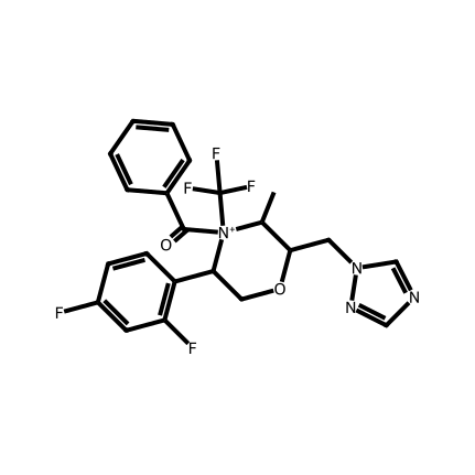 CC1C(Cn2cncn2)OCC(c2ccc(F)cc2F)[N+]1(C(=O)c1ccccc1)C(F)(F)F